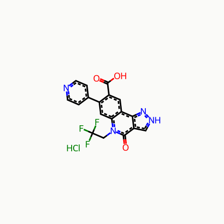 Cl.O=C(O)c1cc2c3n[nH]cc3c(=O)n(CC(F)(F)F)c2cc1-c1ccncc1